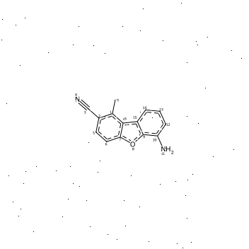 Cc1c(C#N)ccc2oc3c(N)cccc3c12